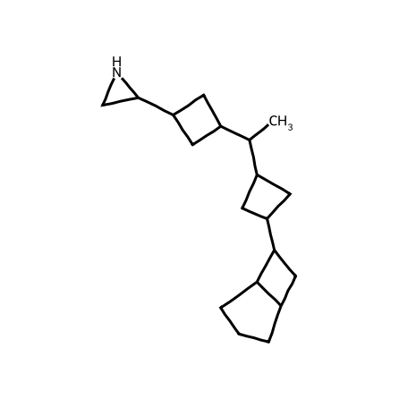 CC(C1CC(C2CN2)C1)C1CC(C2CC3CCCC32)C1